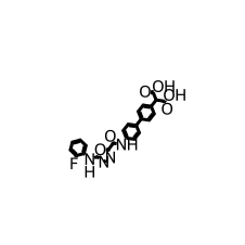 O=C(Nc1ccc(-c2ccc(C(C(=O)O)C(=O)O)cc2)cc1)c1nnc(Nc2ccccc2F)o1